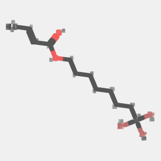 CC=CC(=O)OCCCCCCC[Si](Br)(Br)Br